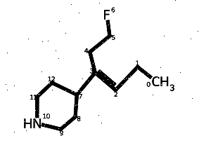 CC/C=C(\CCF)C1CCNCC1